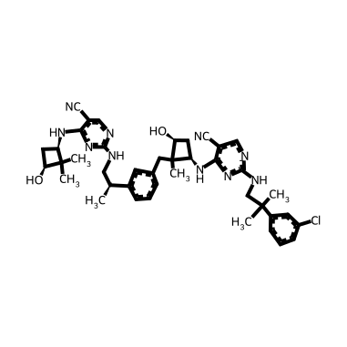 C[C@@H](CNc1ncc(C#N)c(N[C@@H]2C[C@H](O)C2(C)C)n1)c1cccc(CC2(C)[C@@H](O)C[C@H]2Nc2nc(NCC(C)(C)c3cccc(Cl)c3)ncc2C#N)c1